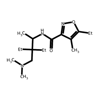 CCc1onc(C(=O)NC(C)C(CC)(CC)CN(C)C)c1C